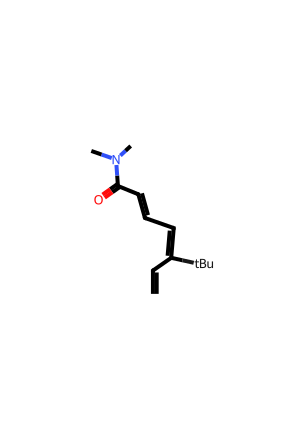 C=C/C(=C\C=C\C(=O)N(C)C)C(C)(C)C